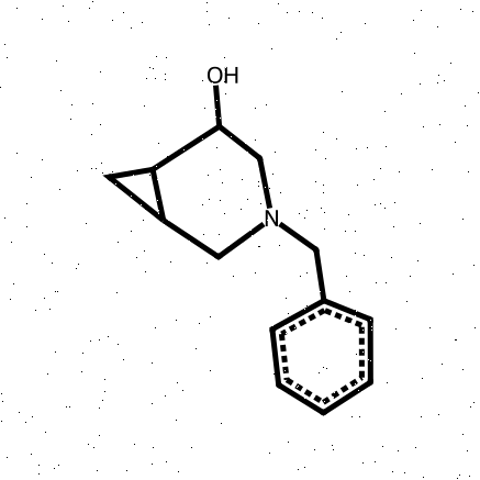 OC1CN(Cc2ccccc2)CC2CC12